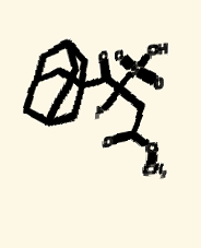 COC(=O)CC(F)(C(=O)C12CC3CC(CC(C3)C1)C2)S(=O)(=O)O